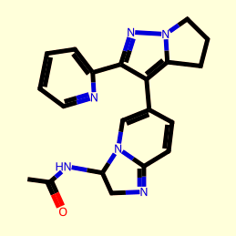 CC(=O)NC1CN=C2C=CC(c3c(-c4ccccn4)nn4c3CCC4)=CN21